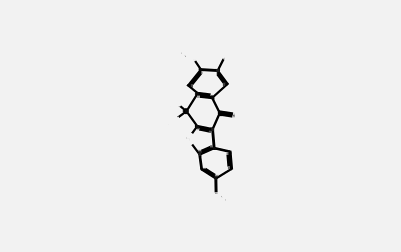 CCc1cc2c(cc1C#N)C(C)(C)c1[nH]c3cc(C#N)ccc3c1C2=O